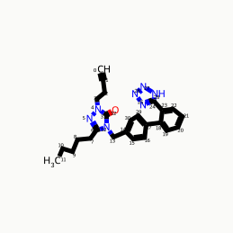 C#CCCn1nc(CCCCC)n(Cc2ccc(-c3ccccc3-c3nnn[nH]3)cc2)c1=O